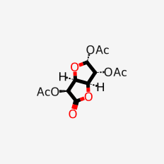 CC(=O)O[C@H]1O[C@H]2[C@H](OC(=O)[C@H]2OC(C)=O)[C@H]1OC(C)=O